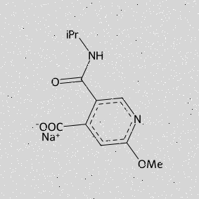 COc1cc(C(=O)[O-])c(C(=O)NC(C)C)cn1.[Na+]